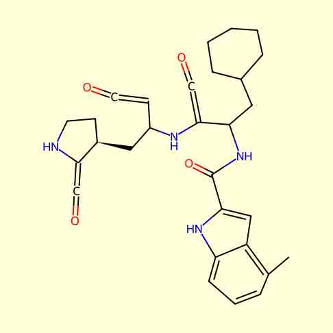 Cc1cccc2[nH]c(C(=O)NC(CC3CCCCC3)C(=C=O)NC(C=C=O)C[C@@H]3CCNC3=C=O)cc12